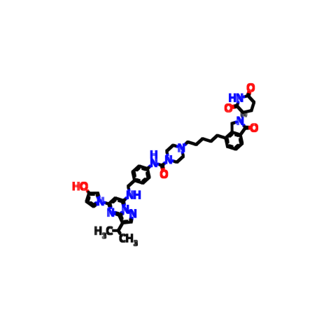 CC(C)c1cnn2c(NCc3ccc(NC(=O)N4CCN(CCCCCc5cccc6c5CN([C@H]5CCC(=O)NC5=O)C6=O)CC4)cc3)cc(-n3ccc(O)c3)nc12